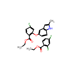 CCOC(=O)c1ccc(F)cc1F.CCOC(=O)c1ccc(F)cc1Oc1ccc2[nH]c(C)cc2c1